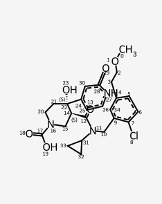 COCCc1ccc(Cl)c(CN(C(=O)[C@H]2CN(C(=O)O)CC[C@@]2(O)c2cc[nH]c(=O)c2)C2CC2)c1